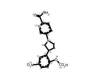 NC(=O)c1ccc(N2CCC(c3cc([N+](=O)[O-])ccc3OC(=O)O)C2)cn1